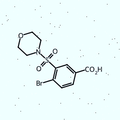 O=C(O)c1ccc(Br)c(S(=O)(=O)N2CCOCC2)c1